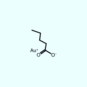 CCCCC(=O)[O-].[Au+]